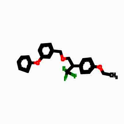 CCOc1ccc(C(COCc2cccc(Oc3ccccc3)c2)C(F)(F)F)cc1